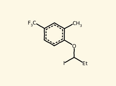 CCC(I)Oc1ccc(C(F)(F)F)cc1C